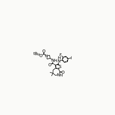 CC1(C)CNC(=O)c2sc(Nc3ccc(I)cc3F)c(C(=O)NC3CN(C(=O)OC(C)(C)C)C3)c2C1